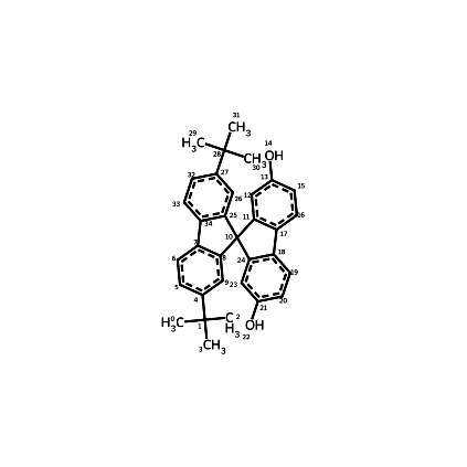 CC(C)(C)c1ccc2c(c1)C1(c3cc(O)ccc3-c3ccc(O)cc31)c1cc(C(C)(C)C)ccc1-2